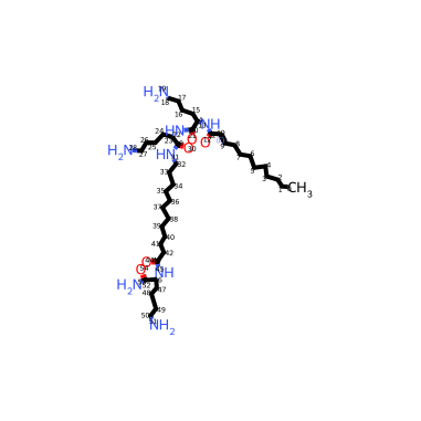 CCCCCCCCC/C=C/C(=O)NC(CCCCN)C(=O)NC(CCCCN)C(=O)NCCCCCCCCCCCC(=O)NC(CCCCN)C(N)=O